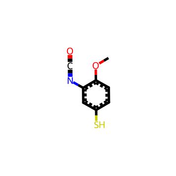 COc1ccc(S)cc1N=C=O